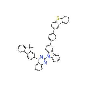 CC1(C)c2ccccc2-c2ccc(-c3nc(-n4c5ccccc5c5cc(-c6ccc(-c7ccc8sc9ccccc9c8c7)cc6)ccc54)nc4ccccc34)cc21